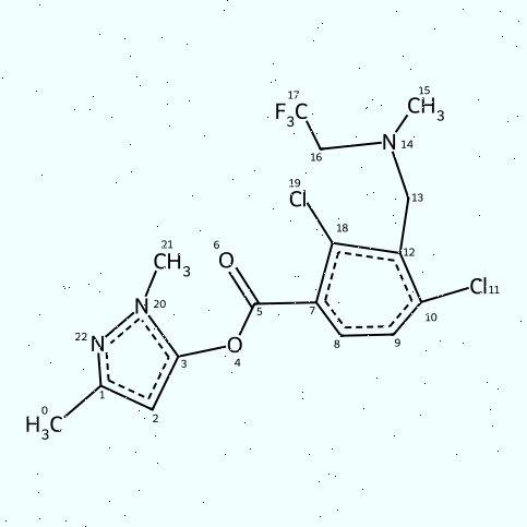 Cc1cc(OC(=O)c2ccc(Cl)c(CN(C)CC(F)(F)F)c2Cl)n(C)n1